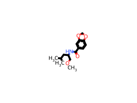 COCC(CC(C)C)NC(=O)c1ccc2c(c1)OCO2